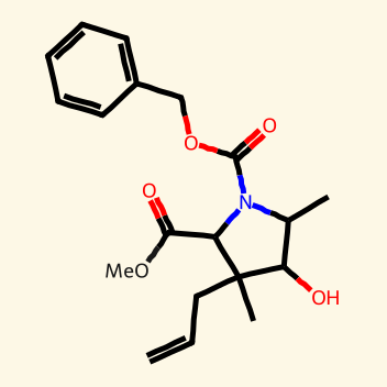 C=CCC1(C)C(O)C(C)N(C(=O)OCc2ccccc2)C1C(=O)OC